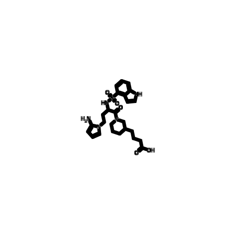 Nc1cccn1CCC(NS(=O)(=O)c1cccc2[nH]ccc12)C(=O)N1CCCC(CCCC(=O)O)C1